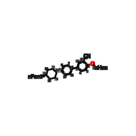 CCCCCCOc1ccc(-c2ccc([C@H]3CC[C@H](CCCCC)CC3)cc2)cc1C#N